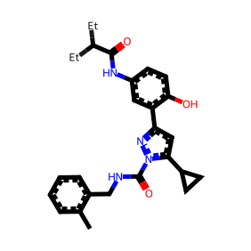 CCC(CC)C(=O)Nc1ccc(O)c(-c2cc(C3CC3)n(C(=O)NCc3ccccc3C)n2)c1